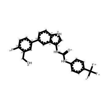 O=C(Nc1ccc(C(F)(F)F)cc1)Nc1c[nH]c2ccc(-c3ccc(F)c(CO)c3)cc12